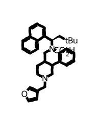 CC(C)(C)C[C@H](c1cccc2ccccc12)N(CC1CCN(Cc2ccoc2)CC1c1ccccc1)C(=O)O